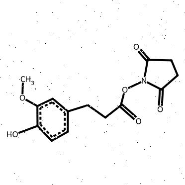 COc1cc(CCC(=O)ON2C(=O)CCC2=O)ccc1O